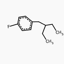 CCC(CC)Cc1ccc(F)cc1